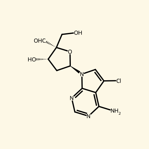 Nc1ncnc2c1c(Cl)cn2[C@H]1C[C@H](O)[C@@](C=O)(CO)O1